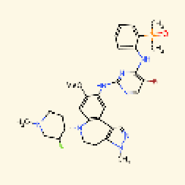 COc1cc2c(cc1Nc1ncc(Br)c(Nc3ccccc3P(C)(C)=O)n1)-c1cnn(C)c1CCN2[C@H]1CCN(C)C[C@@H]1F